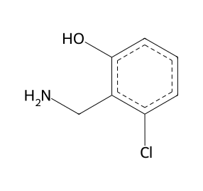 NCc1c(O)cccc1Cl